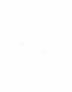 O=NCC1CCNCC1